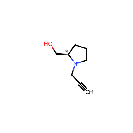 C#CCN1CCC[C@@H]1CO